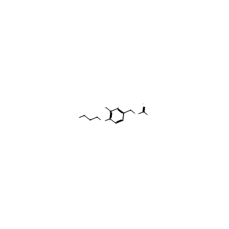 CC(=N)NCc1ccc(OCCCF)c(Cl)c1